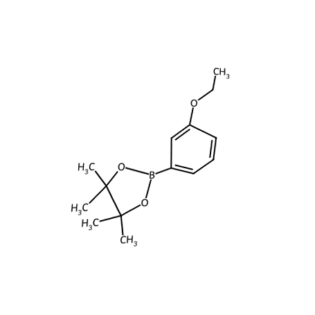 CCOc1cccc(B2OC(C)(C)C(C)(C)O2)c1